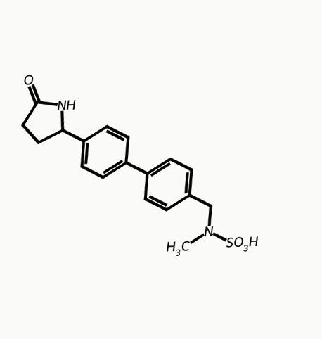 CN(Cc1ccc(-c2ccc(C3CCC(=O)N3)cc2)cc1)S(=O)(=O)O